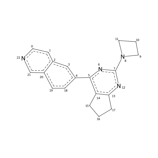 c1cc2cc(-c3nc(N4CCC4)nc4c3CCC4)ccc2cn1